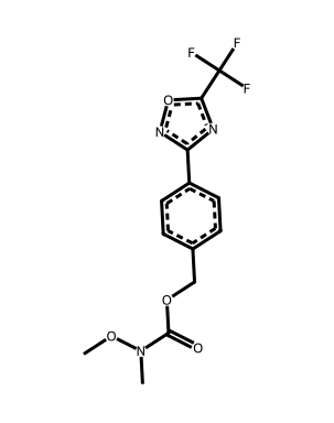 CON(C)C(=O)OCc1ccc(-c2noc(C(F)(F)F)n2)cc1